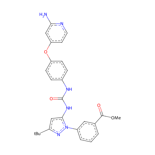 COC(=O)c1cccc(-n2nc(C(C)(C)C)cc2NC(=O)Nc2ccc(Oc3ccnc(N)c3)cc2)c1